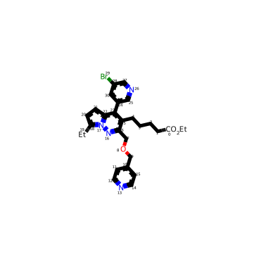 CCOC(=O)CCCCc1c(COCc2ccncc2)nn2c(CC)ccc2c1-c1cncc(Br)c1